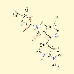 Cn1ccc2c(-c3ncc(Cl)c4c3C(=O)N(C(=O)OC(C)(C)C)C4)ccnc21